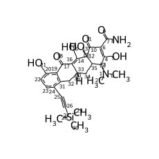 CN(C)[C@@H]1C(O)=C(C(N)=O)C(=O)[C@@]2(O)C(O)=C3C(=O)c4c(O)ccc(C#C[Si](C)(C)C)c4C[C@H]3CC12